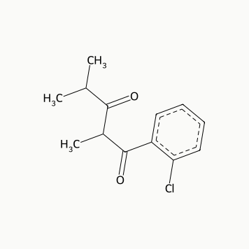 CC(C)C(=O)C(C)C(=O)c1ccccc1Cl